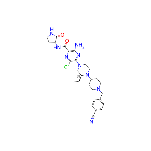 CC[C@H]1CN(c2nc(N)c(C(=O)NC3CCNC3=O)nc2Cl)CCN1C1CCN(Cc2ccc(C#N)cc2)CC1